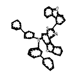 c1ccc(-c2ccc(N(c3cccc(-c4ccccc4)c3)c3cc4sc(-c5cccc6oc7ccccc7c56)nc4c4c3oc3ccccc34)cc2)cc1